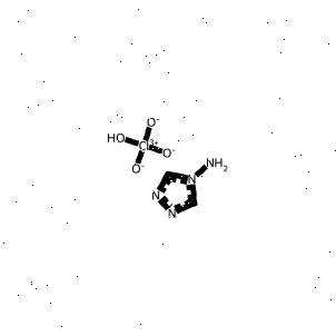 Nn1cnnc1.[O-][Cl+3]([O-])([O-])O